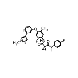 Cc1cc(NC(=O)C2(C(=O)Nc3ccc(F)cc3)CC2)c(F)cc1Oc1ccnc(-c2cnn(C)c2)c1